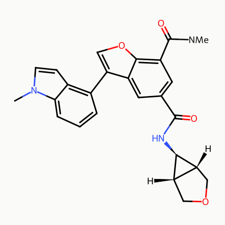 CNC(=O)c1cc(C(=O)N[C@H]2[C@@H]3COC[C@@H]32)cc2c(-c3cccc4c3ccn4C)coc12